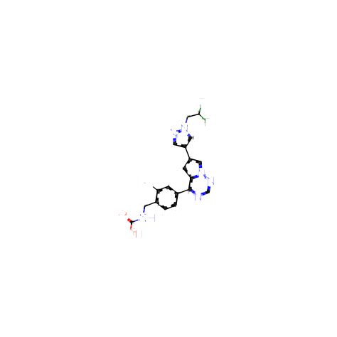 Cc1cc(-c2ncnn3cc(-c4cnn(CC(F)F)c4)cc23)ccc1CNC(=O)O